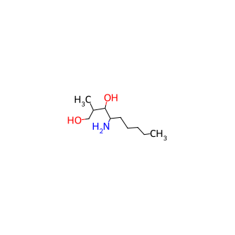 CCCCCC(N)C(O)C(C)CO